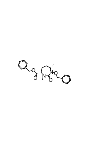 C[C@H]1CC[C@@H](C(=O)OCc2ccccc2)N(C)C(=O)N1OCc1ccccc1